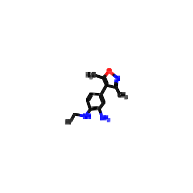 Cc1noc(C)c1-c1ccc(NCC(C)C)c(N)c1